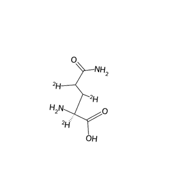 [2H]C(C(N)=O)C([2H])[C@]([2H])(N)C(=O)O